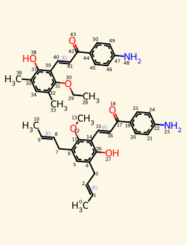 C/C=C/Cc1cc(C/C=C/C)c(OC)c(/C=C/C(=O)c2ccc(N)cc2)c1O.CCOc1c(C)cc(C)c(O)c1/C=C/C(=O)c1ccc(N)cc1